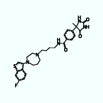 CC1(c2ccc(C(=O)NCCCCN3CCCN(c4csc5cc(F)ccc45)CC3)cc2)NC(=O)NC1=O